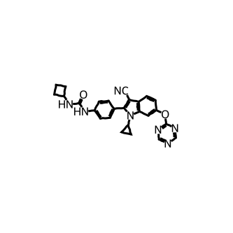 N#Cc1c(-c2ccc(NC(=O)NC3CCC3)cc2)n(C2CC2)c2cc(Oc3ncncn3)ccc12